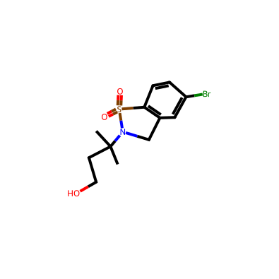 CC(C)(CCO)N1Cc2cc(Br)ccc2S1(=O)=O